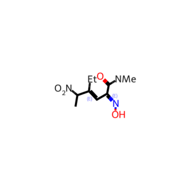 CC/C(=C\C(=N/O)C(=O)NC)C(C)[N+](=O)[O-]